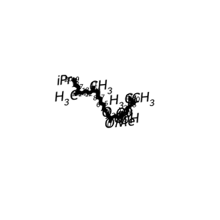 COC(COCCCC/C=C/C(C)CCCC(C)CCCC(C)C)COP(=O)(O)OCCN(C)C